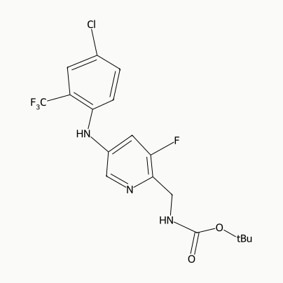 CC(C)(C)OC(=O)NCc1ncc(Nc2ccc(Cl)cc2C(F)(F)F)cc1F